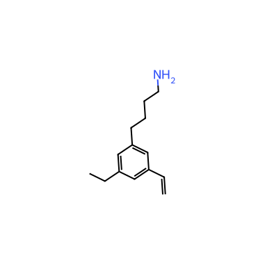 C=Cc1cc(CC)cc(CCCCN)c1